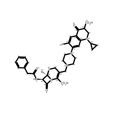 O=C(Cc1ccccc1)N[C@@H]1C(=O)N2C(C(=O)O)=C(CN3CCN(c4cc5c(cc4F)C(=O)C(C(=O)O)CN5C4CC4)CC3)CS[C@H]12